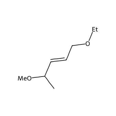 CCOC/C=C/C(C)OC